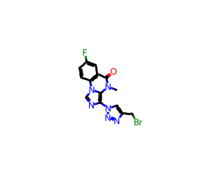 Cn1c(=O)c2cc(F)ccc2n2cnc(-n3cc(CBr)nn3)c12